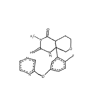 CN1C(=N)NC2(c3cc(Oc4cnccn4)ccc3F)COCCC2C1=O